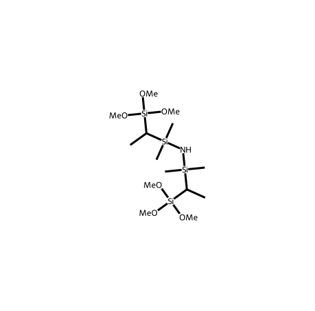 CO[Si](OC)(OC)C(C)[Si](C)(C)N[Si](C)(C)C(C)[Si](OC)(OC)OC